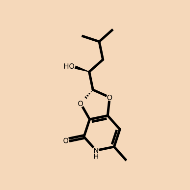 Cc1cc2c(c(=O)[nH]1)O[C@H]([C@@H](O)CC(C)C)O2